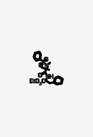 CCOC(=O)C(Cc1ccccc1)NC(=O)C(C)(C)N(C)S(=O)(=O)c1ccccc1